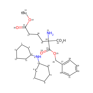 C1CCC(NC2CCCCC2)CC1.CC(C)(C)OC(=O)CCCC(N)(C(=O)O)C(=O)OCc1ccccc1